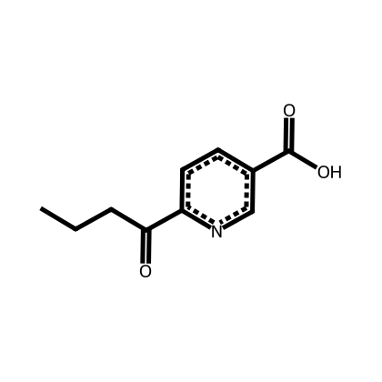 CCCC(=O)c1ccc(C(=O)O)cn1